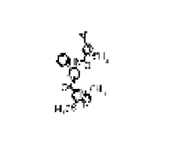 COc1cc(C(=O)N2CC[C@@H](NC(=O)c3cc(C4CC4)nn3C)[C@@H](c3ccccc3)C2)cn2c(C)cnc12